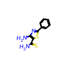 NC(=S)c1sc(-c2ccccc2)nc1N